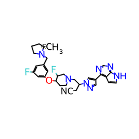 C[C@H]1CCCN1Cc1cc(F)cc(OC2CCN(CC(CC#N)n3cc(-c4ncnc5[nH]ccc45)cn3)CC2F)c1